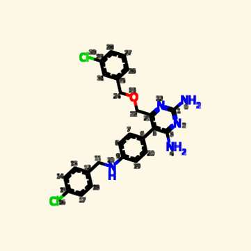 Nc1nc(N)c(-c2ccc(NCc3ccc(Cl)cc3)cc2)c(COCc2cccc(Cl)c2)n1